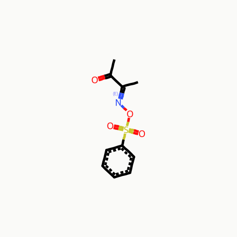 CC(=O)/C(C)=N/OS(=O)(=O)c1ccccc1